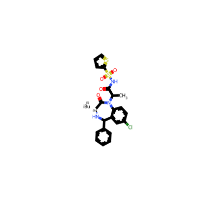 CC[C@H](C)[C@H]1NC(c2ccccc2)c2cc(Cl)ccc2N(C(C)C(=O)NS(=O)(=O)c2cccs2)C1=O